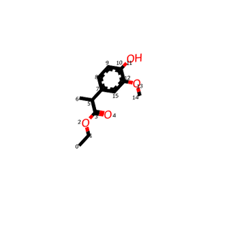 CCOC(=O)C(C)c1ccc(O)c(OC)c1